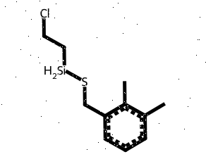 Cc1cccc(CS[SiH2]CCCl)c1C